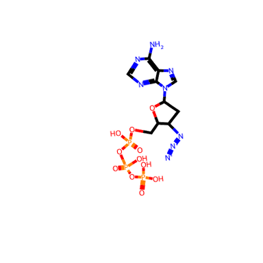 [N-]=[N+]=NC1CC(n2cnc3c(N)ncnc32)OC1COP(=O)(O)OP(=O)(O)OP(=O)(O)O